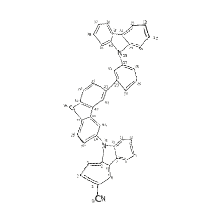 N#Cc1ccc2c(c1)c1ccccc1n2-c1ccc2oc3ccc(-c4cccc(-n5c6ccccc6c6ccccc65)c4)cc3c2c1